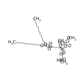 CCCCCCCCCCCCCCCCCCOCC(COC(=O)NCCCCCC(=O)N1C[C@H](OC(=O)CCC(=O)NC)C[C@H]1COC(c1ccccc1)(c1ccc(OC)cc1)c1ccc(OC)cc1)OCCCCCCCCCCCCCCCCCC